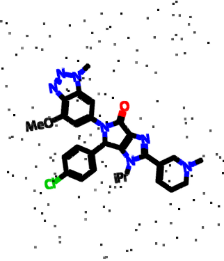 COc1cc(N2C(=O)c3nc(C4=CCCN(C)C4)n(C(C)C)c3C2c2ccc(Cl)cc2)cc2c1nnn2C